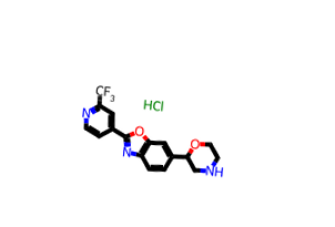 Cl.FC(F)(F)c1cc(-c2nc3ccc(C4CNCCO4)cc3o2)ccn1